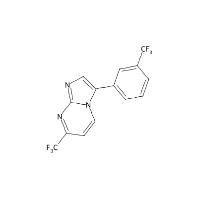 FC(F)(F)c1cccc(-c2cnc3nc(C(F)(F)F)ccn23)c1